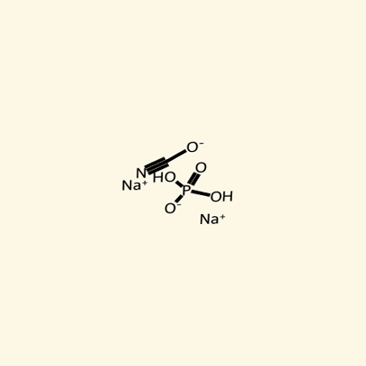 N#C[O-].O=P([O-])(O)O.[Na+].[Na+]